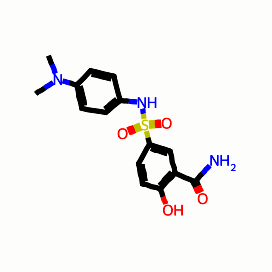 CN(C)c1ccc(NS(=O)(=O)c2ccc(O)c(C(N)=O)c2)cc1